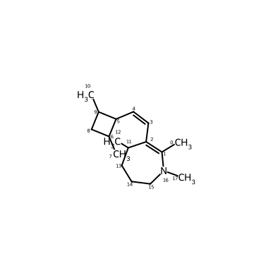 CC1=C(/C=C\C2C(C)CC2C)C(C)CCCN1C